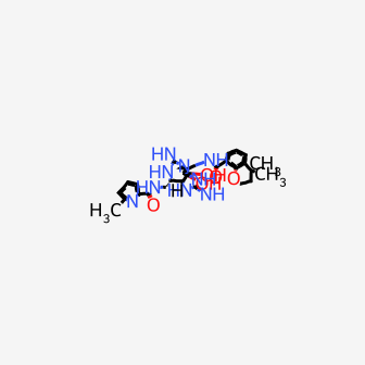 Cc1cccc(C(=O)NC[C@@H]2NC(=N)N3CC(NC(=O)c4cccc5c4OCCC5(C)C)C(O)(O)C34NC(=N)N[C@@H]24)n1